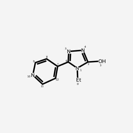 CCn1c(O)nnc1-c1ccncc1